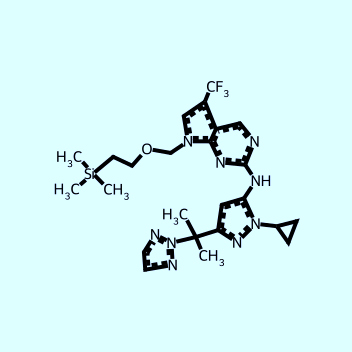 CC(C)(c1cc(Nc2ncc3c(C(F)(F)F)cn(COCC[Si](C)(C)C)c3n2)n(C2CC2)n1)n1nccn1